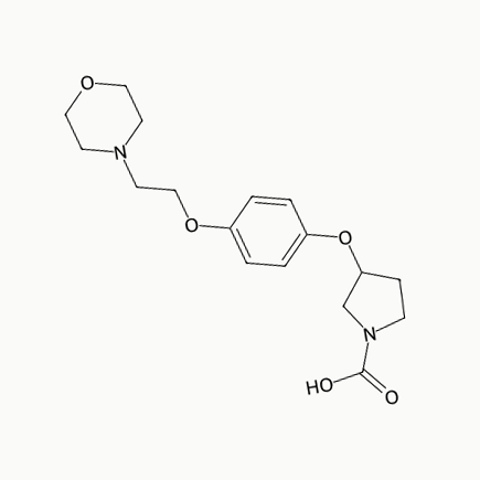 O=C(O)N1CCC(Oc2ccc(OCCN3CCOCC3)cc2)C1